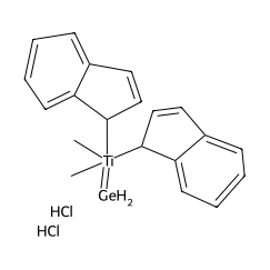 Cl.Cl.[CH3][Ti]([CH3])(=[GeH2])([CH]1C=Cc2ccccc21)[CH]1C=Cc2ccccc21